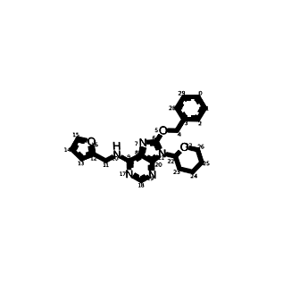 c1ccc(COc2nc3c(NCc4ccco4)ncnc3n2C2CCCCO2)cc1